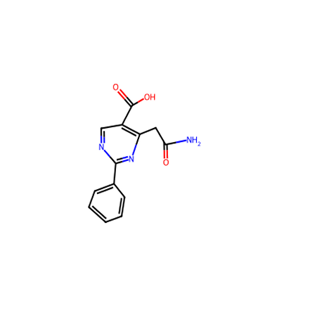 NC(=O)Cc1nc(-c2ccccc2)ncc1C(=O)O